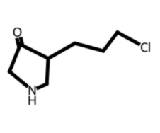 O=C1CNCC1CCCCl